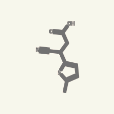 Cc1ccc(C(C#N)CC(=O)O)s1